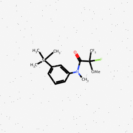 COC(F)(C(=O)N(C)c1cccc([Si](C)(C)C)c1)C(F)(F)F